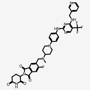 CN(Cc1cc2c(cc1F)C(=O)N(C1CCC(=O)NC1=O)C2=O)C1CCN(c2ccc(Nc3ncc(C(F)(F)F)c(NCc4cccnc4)n3)cc2)CC1